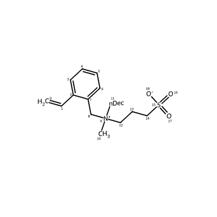 C=Cc1ccccc1C[N+](C)(CCCCCCCCCC)CCCS(=O)(=O)[O-]